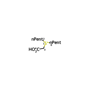 CCCCC[S+](CCCCC)CC(=O)O